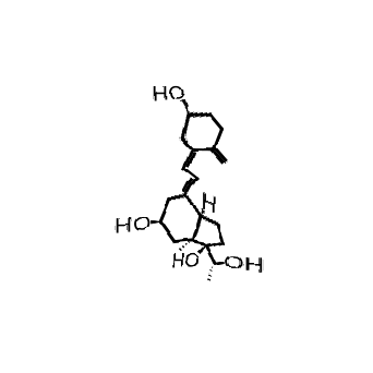 C=C1CC[C@H](O)C/C1=C/C=C1\C[C@H](O)C[C@@]2(C)[C@H]1CC[C@]2(O)[C@@H](C)O